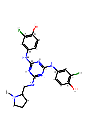 CCN1CCCC1CNc1nc(Nc2ccc(O)c(F)c2)nc(Nc2ccc(O)c(F)c2)n1